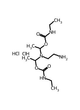 CCNC(=O)OC(C)N(CCN)C(C)OC(=O)NCC.Cl.Cl